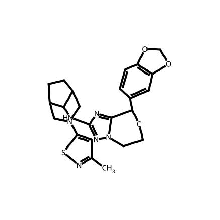 Cc1cc(N2CC3CCC(C2)C3Nc2nc3n(n2)CCCC3c2ccc3c(c2)OCO3)sn1